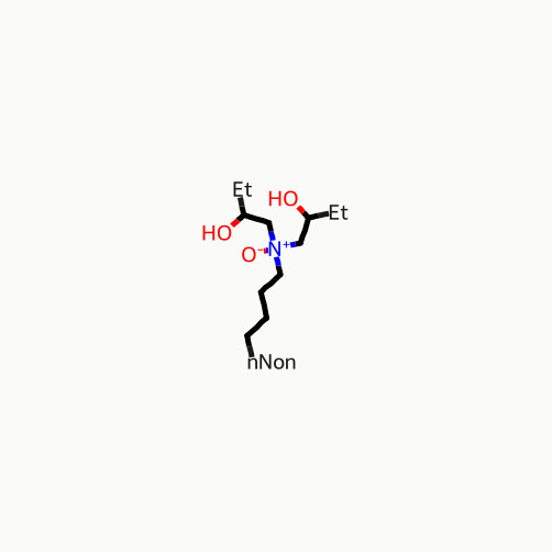 CCCCCCCCCCCCC[N+]([O-])(CC(O)CC)CC(O)CC